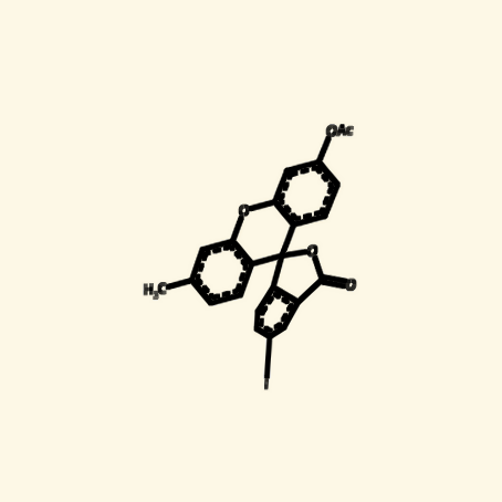 CC(=O)Oc1ccc2c(c1)Oc1cc(C)ccc1C21OC(=O)c2cc(I)ccc21